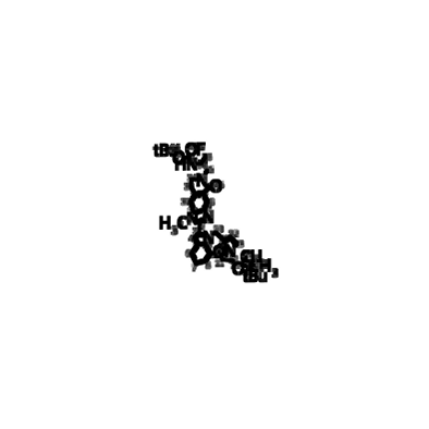 Cn1c(-c2cc3cccc(OCCO[Si](C)(C)C(C)(C)C)c3n2Cc2ccno2)nc2cc3c(cc21)CCN(C[C@@H](CF)NC(=O)OC(C)(C)C)C3=O